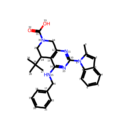 Cc1cc2ccccc2n1-c1nc2c(c(NCc3ccccc3)n1)C(C(C)(C)C)CN(C(=O)O)C2